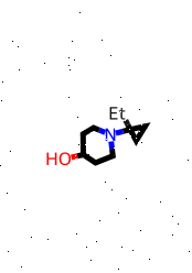 CCC1(N2CCC(O)CC2)CC1